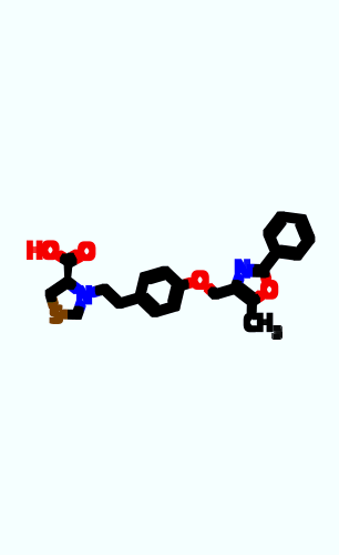 Cc1oc(-c2ccccc2)nc1COc1ccc(CCN2CSC[C@H]2C(=O)O)cc1